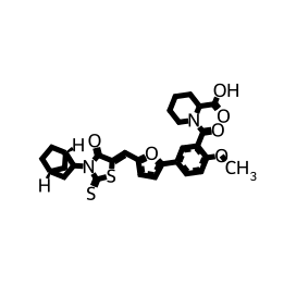 COc1ccc(-c2ccc(/C=C3\SC(=S)N(C4C[C@@H]5CC[C@H]4C5)C3=O)o2)cc1C(=O)N1CCCCC1C(=O)O